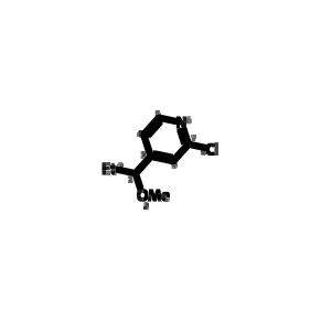 CCC(OC)c1ccnc(Cl)c1